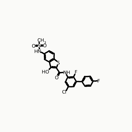 CS(=O)(=O)Nc1ccc2sc(C(=O)Nc3cc(Cl)cc(-c4ccc(F)cc4)c3F)c(O)c2c1